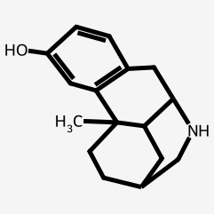 CC12CCC3CNC(Cc4ccc(O)cc41)C2C3